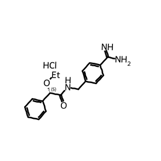 CCO[C@H](C(=O)NCc1ccc(C(=N)N)cc1)c1ccccc1.Cl